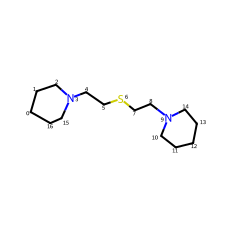 C1CCN(CCSCCN2CCCCC2)CC1